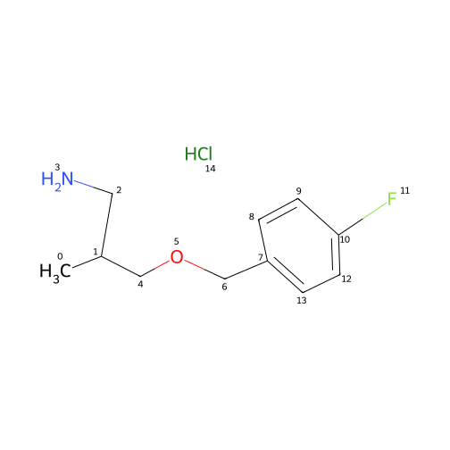 CC(CN)COCc1ccc(F)cc1.Cl